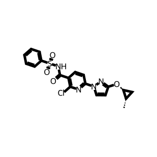 C[C@H]1C[C@H]1Oc1ccn(-c2ccc(C(=O)NS(=O)(=O)c3ccccc3)c(Cl)n2)n1